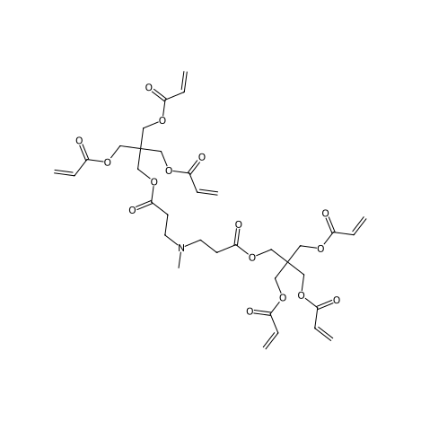 C=CC(=O)OCC(COC(=O)C=C)(COC(=O)C=C)COC(=O)CCN(C)CCC(=O)OCC(COC(=O)C=C)(COC(=O)C=C)COC(=O)C=C